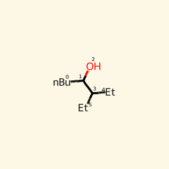 [CH2]CCCC(O)C(CC)CC